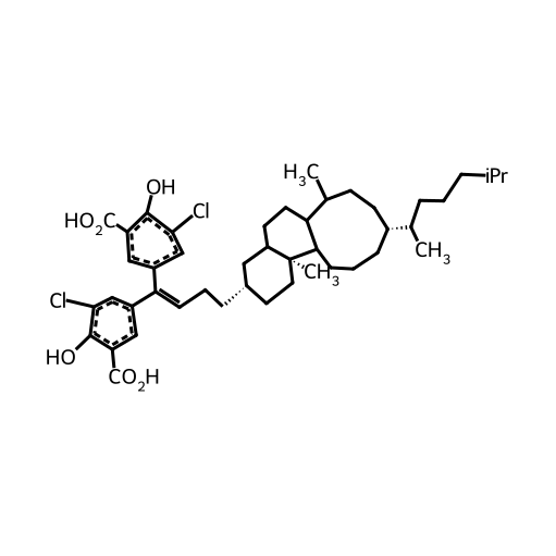 CC(C)CCCC(C)[C@@H]1CCCC2C(CCC3C[C@@H](CCC=C(c4cc(Cl)c(O)c(C(=O)O)c4)c4cc(Cl)c(O)c(C(=O)O)c4)CC[C@@]32C)C(C)CC1